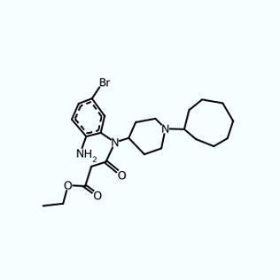 CCOC(=O)CC(=O)N(c1cc(Br)ccc1N)C1CCN(C2CCCCCCC2)CC1